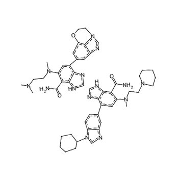 CN(C)CCN(C)c1cc(-c2cc3c4c(c2)ncn4CCO3)c2nc[nH]c2c1C(N)=O.CN(CCN1CCCCC1)c1cc(-c2ccc3c(c2)ncn3C2CCCCC2)c2nc[nH]c2c1C(N)=O